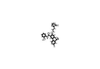 COc1ccccc1N(C)C(=O)c1cc(-c2cnc(C)cc2C#N)c(Cl)cc1OCCCc1nnn[nH]1